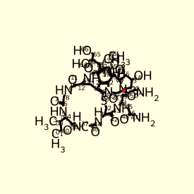 CC[C@H](C)[C@@H]1NC(=O)CNC(=O)C2Cc3c(n(CCCCN)c4cc(OC)ccc34)[S@+]([O-])CC(NC(=O)CNC1=O)C(=O)N[C@@H](CC(N)=O)C(=O)N1CC(O)C[C@H]1C(=O)N[C@@H]([C@@H](C)[C@@H](O)CO)C(=O)N2